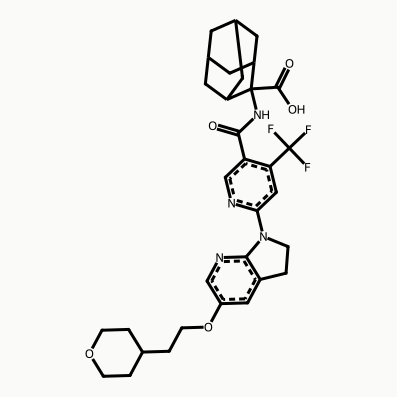 O=C(NC1(C(=O)O)C2CC3CC(C2)CC1C3)c1cnc(N2CCc3cc(OCCC4CCOCC4)cnc32)cc1C(F)(F)F